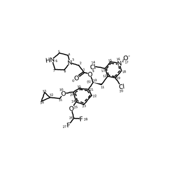 O=C(CN1CCNCC1)O[C@@H](Cc1c(Cl)c[n+]([O-])cc1Cl)c1ccc(OC(F)F)c(OCC2CC2)c1